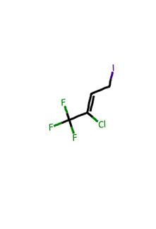 FC(F)(F)/C(Cl)=C/CI